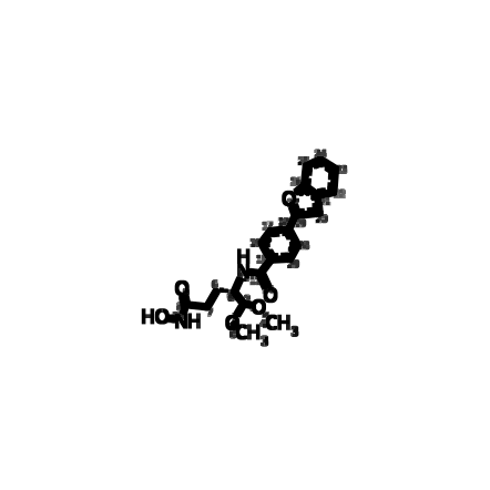 COC(OC)[C@H](CCC(=O)NO)NC(=O)c1ccc(-c2cc3ccccc3o2)cc1